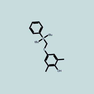 Cc1cc(SC[Si](c2ccccc2)(C(C)(C)C)C(C)(C)C)cc(C)c1O